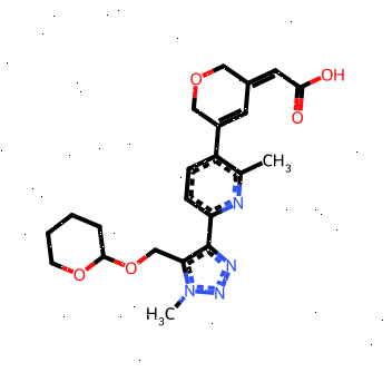 Cc1nc(-c2nnn(C)c2COC2CCCCO2)ccc1C1=CC(=CC(=O)O)COC1